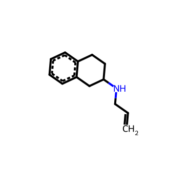 C=CCNC1CCc2ccccc2C1